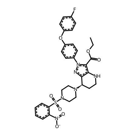 CCOC(=O)c1c2c(nn1-c1ccc(Oc3ccc(F)cc3)cc1)[C@H](N1CCN(S(=O)(=O)c3ccccc3[N+](=O)[O-])CC1)CCN2